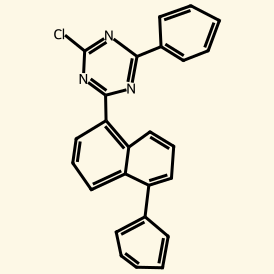 Clc1nc(-c2ccccc2)nc(-c2cccc3c(-c4ccccc4)cccc23)n1